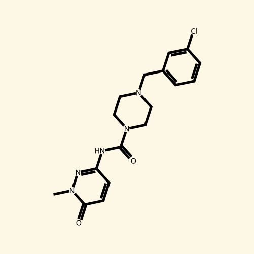 Cn1nc(NC(=O)N2CCN(Cc3cccc(Cl)c3)CC2)ccc1=O